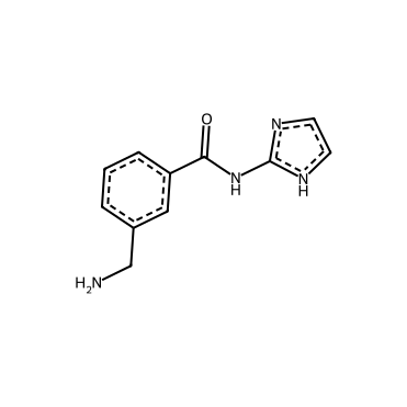 NCc1cccc(C(=O)Nc2ncc[nH]2)c1